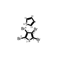 Brc1sc(Br)c(Br)c1Br.c1ccsc1